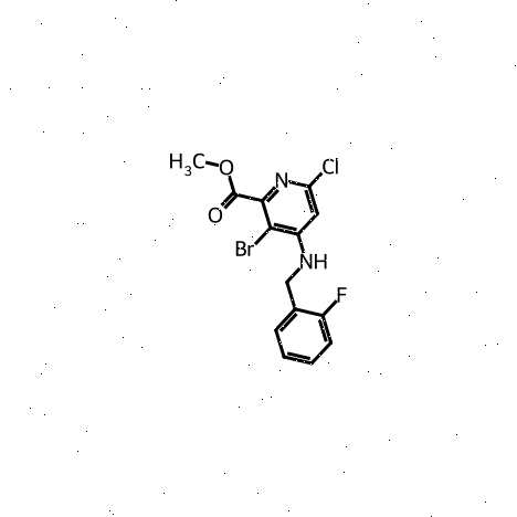 COC(=O)c1nc(Cl)cc(NCc2ccccc2F)c1Br